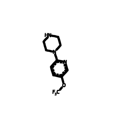 FC(F)(F)Oc1ccc(N2CCNCC2)nc1